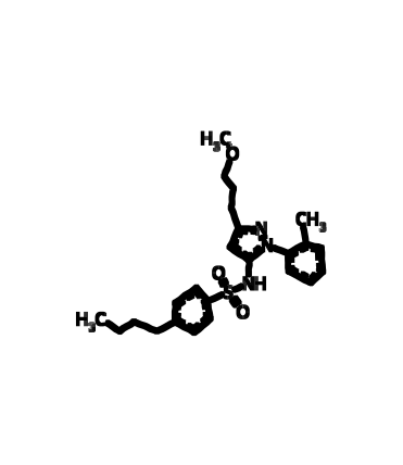 CCCCc1ccc(S(=O)(=O)Nc2cc(CCCOC)nn2-c2ccccc2C)cc1